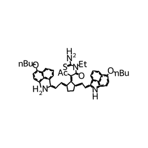 CCCCOc1ccc(C)c2c(\C(N)=C/C=C3\CCC(=C/C=c4/[nH]c5ccc(OCCCC)c6cccc4c56)\C3=C(\C(C)=O)C(=O)N(CC)C(N)=S)cccc12